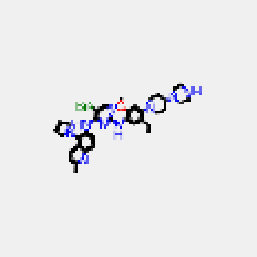 CCc1cc(Nc2ncc(Br)c(Nc3ccc4nc(C)ccc4c3N3CC=CC3)n2)c(OC)cc1N1CCC(N2CCNCC2)CC1